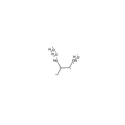 CC(O)CO.O.O.O